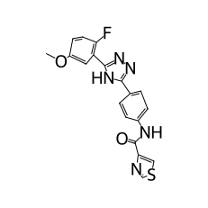 COc1ccc(F)c(-c2nnc(-c3ccc(NC(=O)c4cscn4)cc3)[nH]2)c1